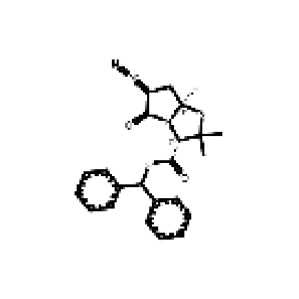 CC1(C)S[C@@H]2CC(=[N+]=[N-])C(=O)N2[C@H]1C(=O)OC(c1ccccc1)c1ccccc1